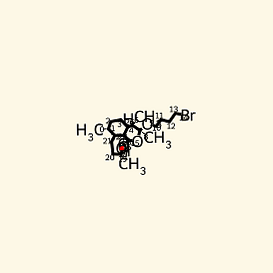 C[C@@H]1CC[C@H]2[C@@H](C)[C@@](C)(OCCCCBr)O[C@@H]3O[C@]4(C)CCC1[C@]32OO4